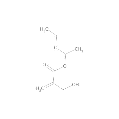 C=C(CO)C(=O)OC(C)OCC